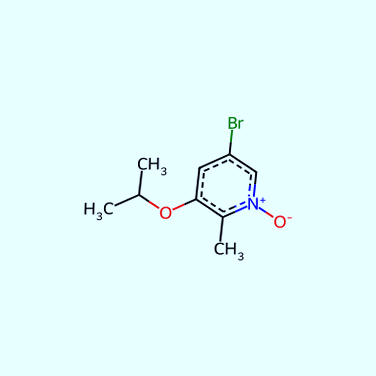 Cc1c(OC(C)C)cc(Br)c[n+]1[O-]